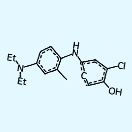 CCN(CC)c1ccc(Nc2ccc(O)c(Cl)c2)c(C)c1